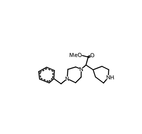 COC(=O)C(C1CCNCC1)N1CCN(Cc2ccccc2)CC1